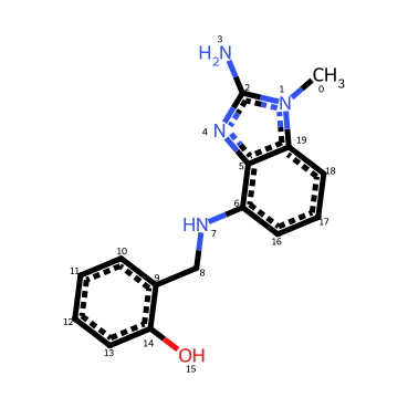 Cn1c(N)nc2c(NCc3ccccc3O)cccc21